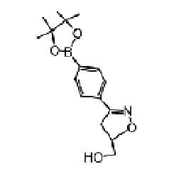 CC1(C)OB(c2ccc(C3=NOC(CO)C3)cc2)OC1(C)C